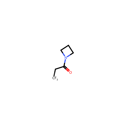 O=C(CC(F)(F)F)N1CCC1